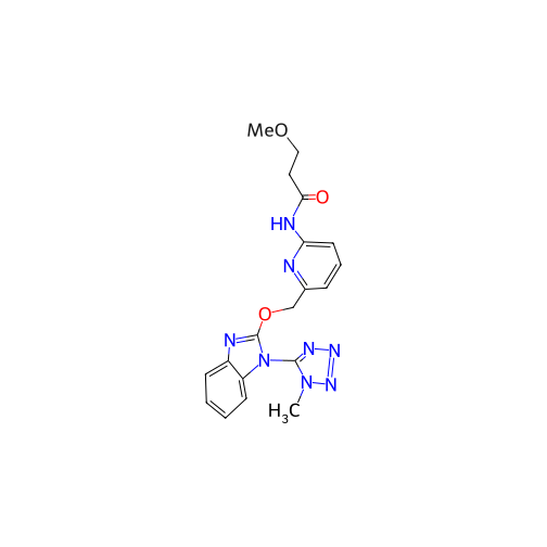 COCCC(=O)Nc1cccc(COc2nc3ccccc3n2-c2nnnn2C)n1